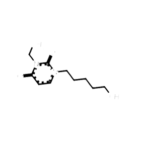 CCCCCCn1ccc(=O)n(CC)c1=O